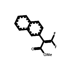 COC(=O)C(=C(F)F)c1ccc2ccccc2c1